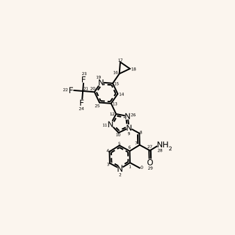 Cc1ncccc1/C(=C\n1cnc(-c2cc(C3CC3)nc(C(F)(F)F)c2)n1)C(N)=O